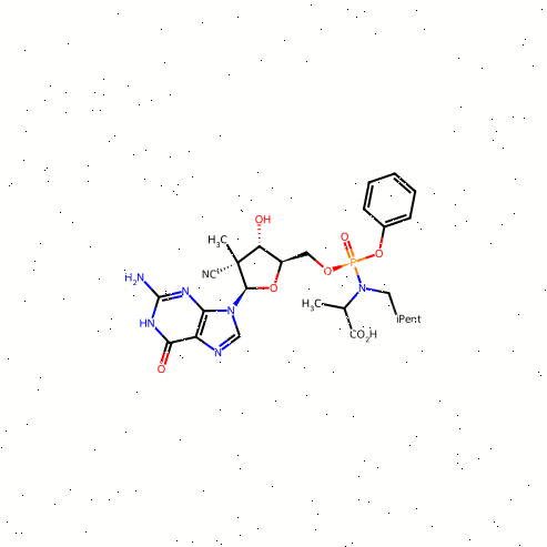 CCCC(C)CN(C(C)C(=O)O)[P@@](=O)(OC[C@H]1O[C@@H](n2cnc3c(=O)[nH]c(N)nc32)[C@](C)(C#N)[C@@H]1O)Oc1ccccc1